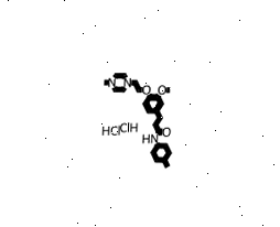 COc1cc(CCC(=O)NC2CCC(C)CC2)ccc1OCCN1CCN(C)CC1.Cl.Cl